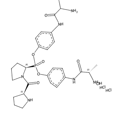 CC(N)C(=O)Nc1ccc(OP(=O)(Oc2ccc(NC(=O)[C@H](C)N)cc2)[C@@H]2CCCN2C(=O)[C@@H]2CCCN2)cc1.Cl.Cl.Cl